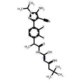 CC(C(=O)N/C(O)=C/C(=N)CC(C)(C)C)c1ccc(-c2nn(C(C)C)c(N)c2C#N)c(F)c1F